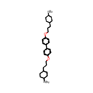 CCCCC1CCC(CCCOc2ccc(-c3ccc(OCCCC4CCC(CCCC)CC4)cc3)cc2)CC1